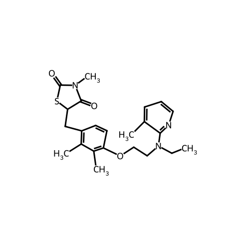 CCN(CCOc1ccc(CC2SC(=O)N(C)C2=O)c(C)c1C)c1ncccc1C